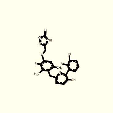 CCc1cccc(-c2nc(Cc3c(C)cc(OCc4noc(=O)[nH]4)c(F)c3C)ccc2O)c1F